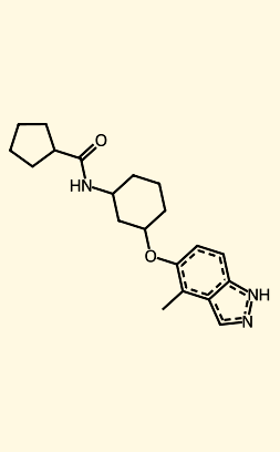 Cc1c(OC2CCCC(NC(=O)C3CCCC3)C2)ccc2[nH]ncc12